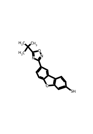 CC(C)(C)c1nc(-c2ccc3oc4cc(S)ccc4c3c2)no1